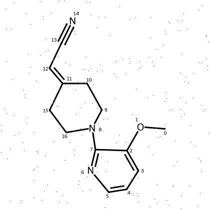 COc1cccnc1N1CCC(=CC#N)CC1